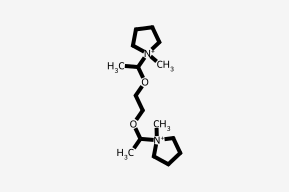 CC(OCCOC(C)[N+]1(C)CCCC1)[N+]1(C)CCCC1